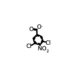 [O]C(=O)c1cc(Cl)c([N+](=O)[O-])c(Cl)c1